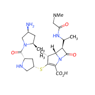 CNCC(=O)NC(C)[C@H]1C(=O)N2C(C(=O)O)=C(S[C@@H]3CN[C@H](C(=O)N4C[C@@H](N)C[C@H]4C)C3)[C@H](C)[C@H]12